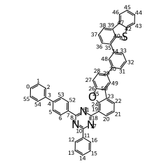 c1ccc(-c2ccc(-c3nc(-c4ccccc4)nc(-c4cccc5c4oc4ccc(-c6cccc(-c7cccc8c7sc7ccccc78)c6)cc45)n3)cc2)cc1